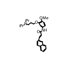 COc1ccc(NC(=O)C=Cc2ccc3ccccc3c2)cc1OCCCN(C(C)C)C(C)C